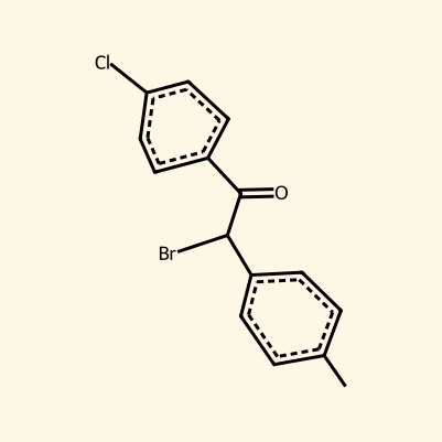 Cc1ccc(C(Br)C(=O)c2ccc(Cl)cc2)cc1